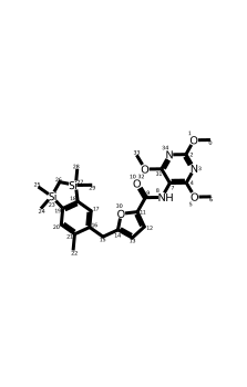 COc1nc(OC)c(NC(=O)c2ccc(Cc3cc4c(cc3C)[Si](C)(C)C[Si]4(C)C)o2)c(OC)n1